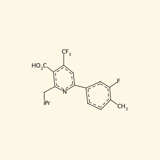 Cc1ccc(-c2cc(C(F)(F)F)c(C(=O)O)c(CC(C)C)n2)cc1F